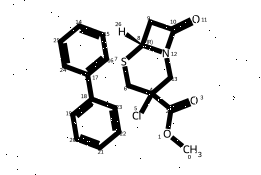 COC(=O)C1(Cl)CS[C@@H]2CC(=O)N2C1.c1ccc(-c2ccccc2)cc1